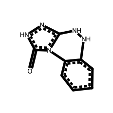 O=c1[nH]nc2n1-c1ccccc1NN2